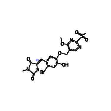 COc1nc(S(C)(=O)=O)ncc1COc1cc(/C=C2\SC(=O)N(C)C2=O)c(Br)cc1O